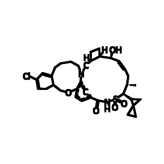 C[C@H]1C/C=C\[C@H](O)[C@@H]2CC[C@H]2CN2CCCCC3=CC(Cl)=CCC3COc3ccc(cc32)C(=O)NS(=O)(=O)[C@@H]1C1CC12CC2